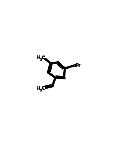 C=Cc1cc(C)cc(CCC)c1